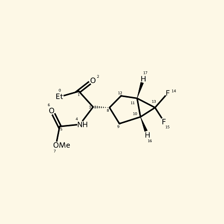 CCC(=O)C(NC(=O)OC)[C@H]1C[C@@H]2[C@H](C1)C2(F)F